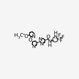 CCOc1cccnc1Oc1cncc(-c2ncc(C(=O)N[C@@H]3CC[C@@H](C(F)(F)F)NC3)cn2)c1